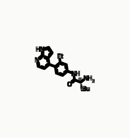 CCc1cc(NC(=O)[C@H](N)C(C)(C)C)ccc1-c1ccnc2[nH]ccc12